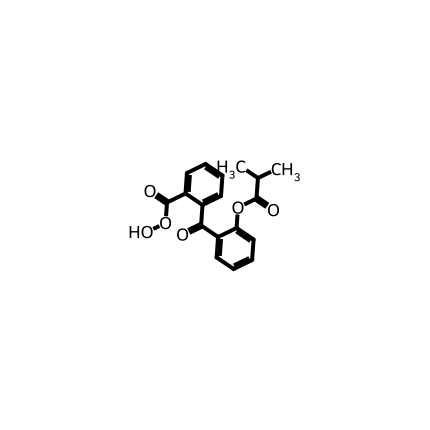 CC(C)C(=O)Oc1ccccc1C(=O)c1ccccc1C(=O)OO